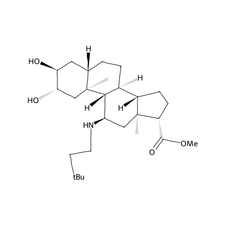 COC(=O)[C@H]1CC[C@H]2[C@@H]3CC[C@H]4C[C@H](O)[C@@H](O)C[C@]4(C)[C@H]3[C@H](NCCC(C)(C)C)C[C@]12C